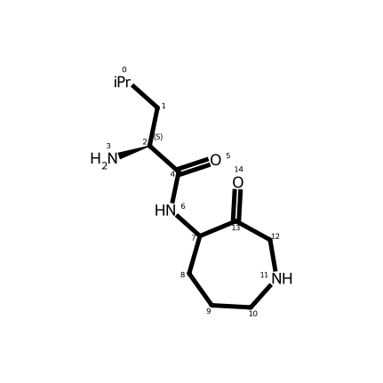 CC(C)C[C@H](N)C(=O)NC1CCCNCC1=O